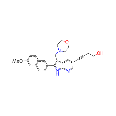 COc1ccc2cc(-c3[nH]c4ncc(C#CCCO)cc4c3CN3CCOCC3)ccc2c1